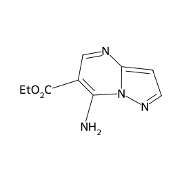 CCOC(=O)c1cnc2ccnn2c1N